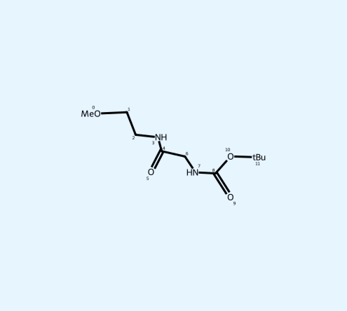 COCCNC(=O)CNC(=O)OC(C)(C)C